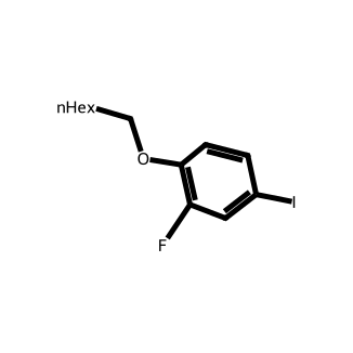 CCCCCCCOc1ccc(I)cc1F